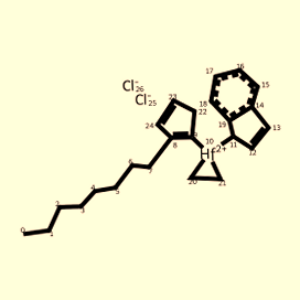 CCCCCCCCC1=[C]([Hf+2]2([CH]3C=Cc4ccccc43)[CH2][CH2]2)CC=C1.[Cl-].[Cl-]